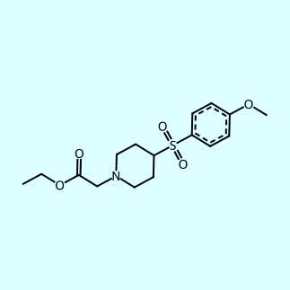 CCOC(=O)CN1CCC(S(=O)(=O)c2ccc(OC)cc2)CC1